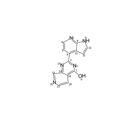 Oc1nc(-c2ccnc3[nH]ccc23)nc2cnccc12